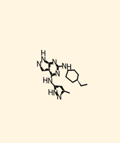 CC[C@H]1CC[C@H](Nc2nc(Nc3cc(C)n[nH]3)c3cn[nH]c3n2)CC1